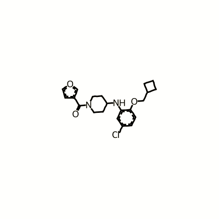 O=C(c1ccoc1)N1CCC(Nc2cc(Cl)ccc2OCC2CCC2)CC1